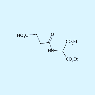 CCOC(=O)C(NC(=O)CCC(=O)O)C(=O)OCC